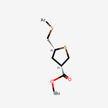 CC(=O)SC[C@H]1C[C@@H](C(=O)OC(C)(C)C)CS1